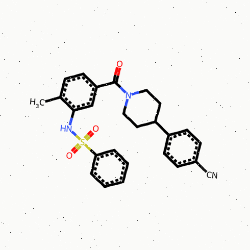 Cc1ccc(C(=O)N2CCC(c3ccc(C#N)cc3)CC2)cc1NS(=O)(=O)c1ccccc1